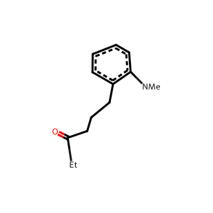 CCC(=O)CCCc1ccccc1NC